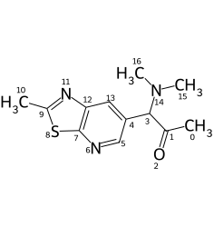 CC(=O)C(c1cnc2sc(C)nc2c1)N(C)C